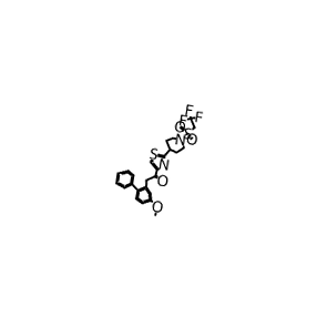 COc1ccc(-c2ccccc2)c(CC(=O)c2csc(C3CCN(S(=O)(=O)CC(F)(F)F)CC3)n2)c1